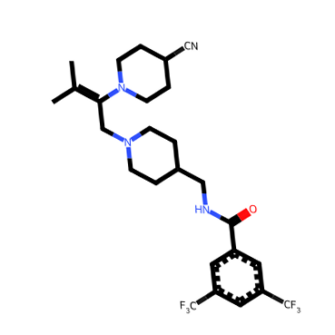 CC(C)=C(CN1CCC(CNC(=O)c2cc(C(F)(F)F)cc(C(F)(F)F)c2)CC1)N1CCC(C#N)CC1